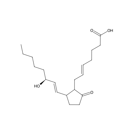 CCCCC[C@H](O)/C=C/C1CCC(=O)C1C/C=C/CCCC(=O)O